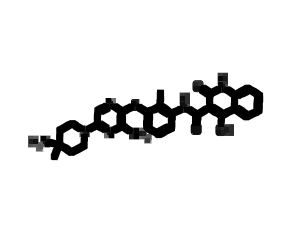 Cc1c(NC(=O)c2c(O)c3ccccc3[nH]c2=O)cccc1Sc1ncc(N2CCC(C)(N)CC2)nc1N